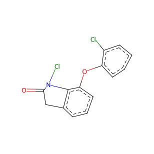 O=C1Cc2cccc(Oc3ccccc3Cl)c2N1Cl